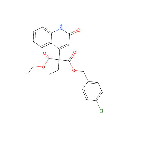 CCOC(=O)C(CC)(C(=O)OCc1ccc(Cl)cc1)c1cc(=O)[nH]c2ccccc12